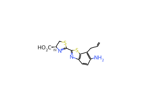 C=CCc1c(N)ccc2nc(C3=N[C@@H](C(=O)O)CS3)sc12